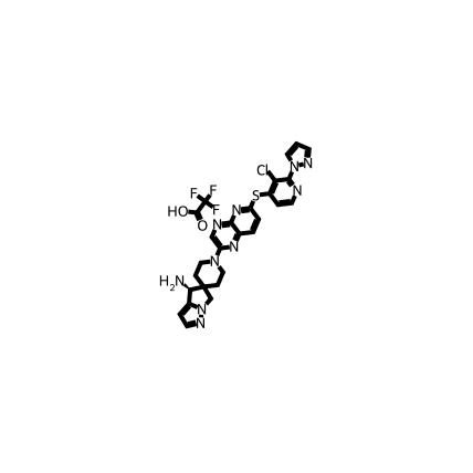 N[C@@H]1c2ccnn2CC12CCN(c1cnc3nc(Sc4ccnc(-n5cccn5)c4Cl)ccc3n1)CC2.O=C(O)C(F)(F)F